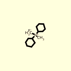 C[N+](C)(C1CCCCC1)C1CCCCC1.[F-]